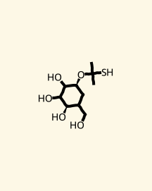 CC(C)(S)O[C@H]1CC(CO)[C@@H](O)C(O)C1O